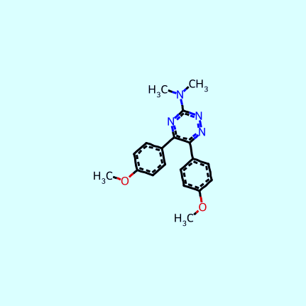 COc1ccc(-c2nnc(N(C)C)nc2-c2ccc(OC)cc2)cc1